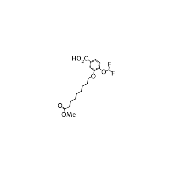 COC(=O)CCCCCCCCOc1cc(C(=O)O)ccc1OC(F)F